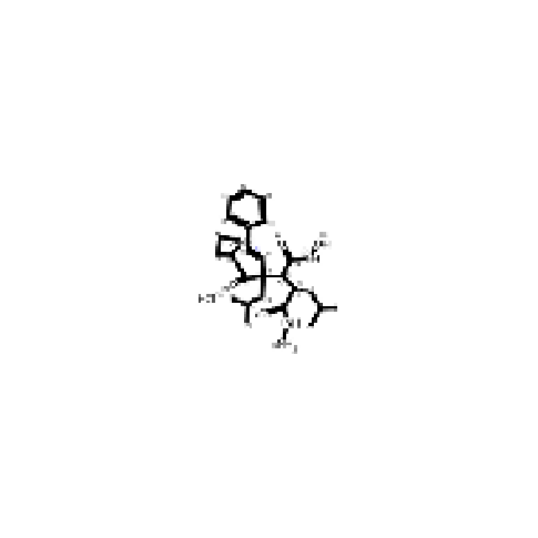 CC(C)C[C@@H](C(=O)NN)[C@H](C(=O)NO)C(/C=C/c1ccccc1)(CC(C)C)C(=O)C1CCN1.Cl